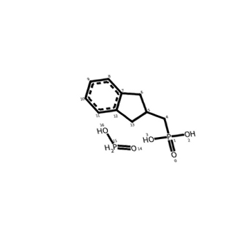 O=P(O)(O)CC1Cc2ccccc2C1.O=[PH2]O